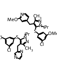 COc1cc(Cl)cc(Sc2c(Cc3ccnc(OC)c3)c(C)nn2C(C)C)c1.Cc1nn(C(C)C)c(Sc2cc(Cl)cc(Cl)c2)c1Cc1cnccn1